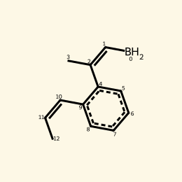 B/C=C(/C)c1ccccc1/C=C\C